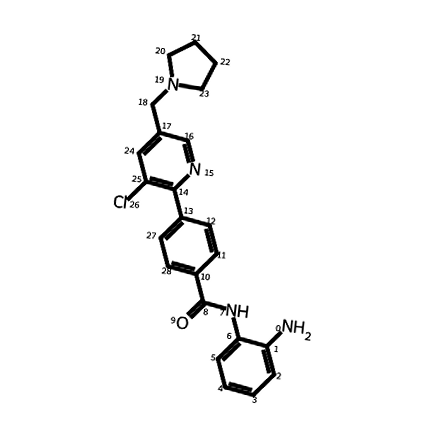 Nc1ccccc1NC(=O)c1ccc(-c2ncc(CN3CCCC3)cc2Cl)cc1